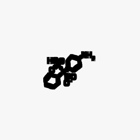 Nc1ccc([N+](c2ccccc2)([N+](=O)[O-])S(=O)(=O)O)cc1